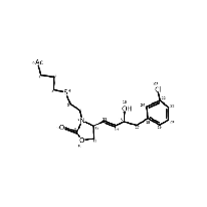 CC(=O)CCCSCCN1C(=O)OC[C@@H]1/C=C/[C@@H](O)Cc1cccc(Cl)c1